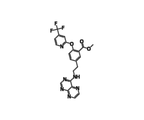 COC(=O)c1cc(CCNc2ncnc3nccnc23)ccc1Oc1cc(C(F)(F)F)ccn1